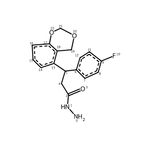 NNC(=O)CC(c1ccc(F)cc1)c1cccc2c1COCO2